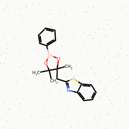 CC1(C)OB(c2ccccc2)OC1(C)Cc1nc2ccccc2s1